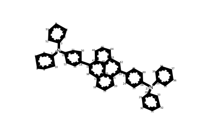 c1ccc(N(c2ccccc2)c2ccc(-c3cc4cccc5c(-c6ccc(N(c7ccccc7)c7ccccc7)cc6)cc6cccc3c6c45)cc2)cc1